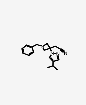 CC(C)c1cnn(C2(CC#N)CN(Cc3ccccc3)C2)c1